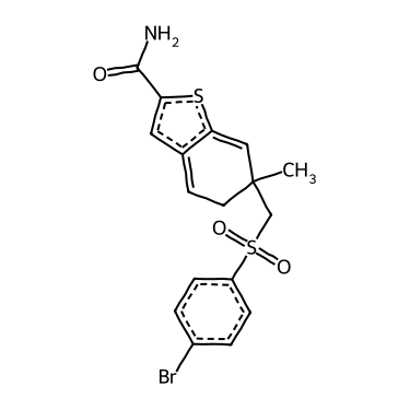 CC1(CS(=O)(=O)c2ccc(Br)cc2)C=c2sc(C(N)=O)cc2=CC1